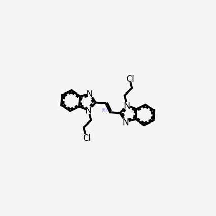 ClCCn1c(/C=C/c2nc3ccccc3n2CCCl)nc2ccccc21